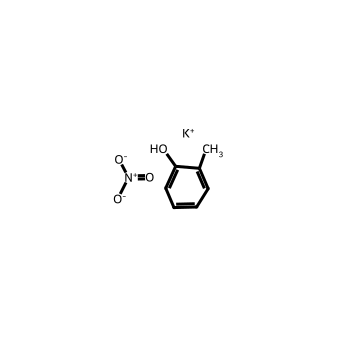 Cc1ccccc1O.O=[N+]([O-])[O-].[K+]